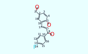 O=Cc1ccc2oc(C(=O)c3ccc(F)cc3)cc2c1